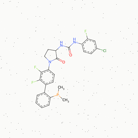 CP(C)c1ccccc1-c1ccc(N2CCC(NC(=O)Nc3ccc(Cl)cc3F)C2=O)c(F)c1F